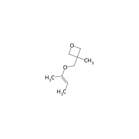 CC=C(C)OCC1(C)COC1